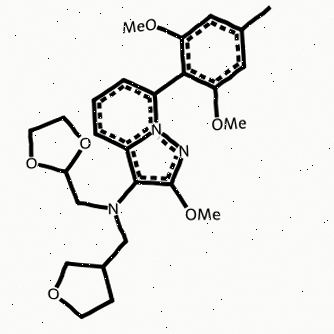 COc1cc(C)cc(OC)c1-c1cccc2c(N(CC3CCOC3)CC3OCCO3)c(OC)nn12